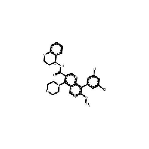 COc1ncc2c(N3CCOCC3)c(C(=O)N[C@H]3CCOc4ccccc43)cnc2c1-c1cc(Cl)cc(Cl)c1